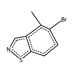 Cc1c(Br)ccc2sncc12